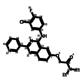 CCN(CC)C(=O)COc1ccc2nc(-c3cccnc3)nc(Nc3ccc(F)c(Cl)c3)c2c1